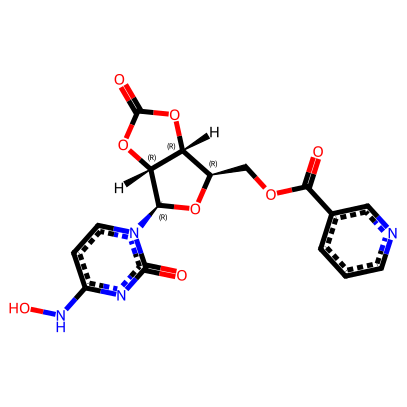 O=C1O[C@@H]2[C@H](O1)[C@@H](COC(=O)c1cccnc1)O[C@H]2n1ccc(NO)nc1=O